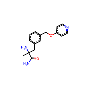 CC(N)(Cc1cccc(COc2ccncc2)c1)C(N)=O